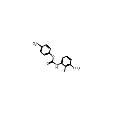 Cc1c(NC(=O)Oc2ccc([N+](=O)[O-])cc2)cccc1C(=O)O